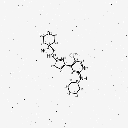 N#CC1(CNc2nc(-c3cc(NC4CCCCC4)ncc3Cl)cs2)CCOCC1